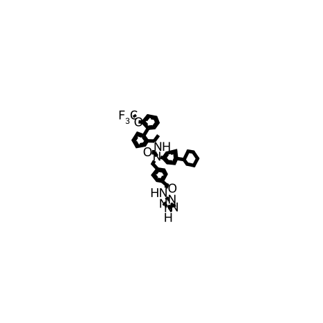 CC(NC(=O)N(Cc1ccc(C(=O)Nc2nn[nH]n2)cc1)c1ccc(C2CCCCC2)cc1)c1ccccc1-c1ccccc1OC(F)(F)F